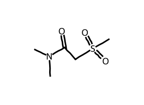 CN(C)C(=O)CS(C)(=O)=O